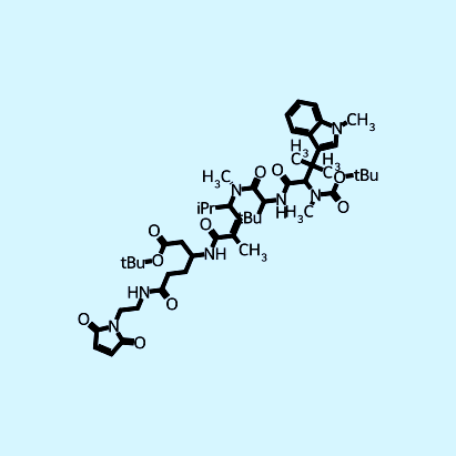 CC(=CC(C(C)C)N(C)C(=O)C(NC(=O)C(N(C)C(=O)OC(C)(C)C)C(C)(C)c1cn(C)c2ccccc12)C(C)(C)C)C(=O)NC(CCC(=O)NCCN1C(=O)C=CC1=O)CC(=O)OC(C)(C)C